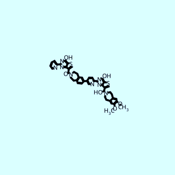 COc1cc2c(cc1OC)CCN(C(O)c1csc3c(O)nc(-c4ccc(-c5ccc6c(c5)CCN(C(=O)c5csc7c(O)nc(-c8ccccn8)nc57)CC6)cn4)nc13)CC2